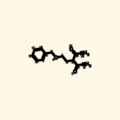 NC(=O)C(CCOCc1ccccc1)C(N)=O